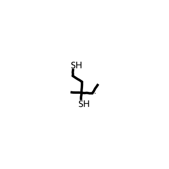 C[CH]C(C)(S)CCS